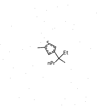 CCCC(C)(CC)c1csc(C)c1